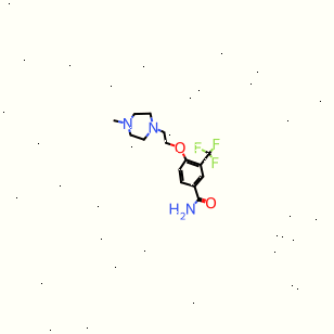 CN1CCN(CCOc2ccc(C(N)=O)cc2C(F)(F)F)CC1